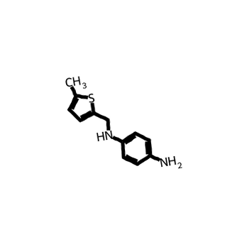 Cc1ccc(CNc2ccc(N)cc2)s1